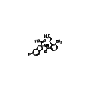 CC=Cc1c(C)cccc1C(=O)NC1(C(=O)O)Cc2ccc(F)cc2C1